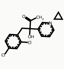 C1CC1.CC(=O)C(O)(Cc1ccc(Cl)cc1Cl)c1cccnc1